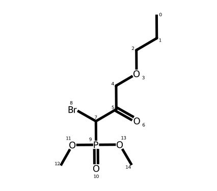 CCCOCC(=O)C(Br)P(=O)(OC)OC